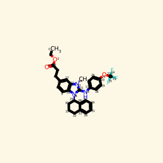 CCOC(=O)CCc1ccc2c(c1)N(C)C(Nc1ccc(OC(F)(F)F)cc1)N2[C@@H]1CCCc2ccccc21